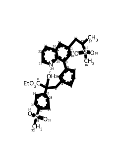 CCOC(=O)C(O)(Cc1cccc(-c2cc(CC(C)S(C)(=O)=O)cc3cccnc23)c1)c1ccc(S(C)(=O)=O)cc1